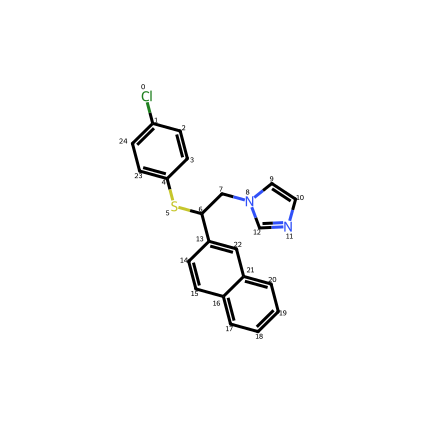 Clc1ccc(SC(Cn2ccnc2)c2ccc3ccccc3c2)cc1